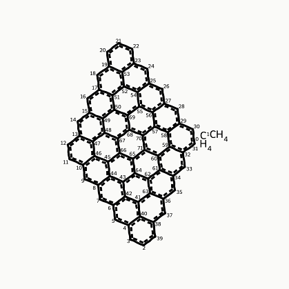 C.C.c1cc2cc3cc4cc5ccc6cc7cc8cc9cccc%10cc%11cc%12cc%13ccc%14cc%15cc%16cc(c1)c2c1c3c2c4c3c5c6c4c7c5c8c(c9%10)c%11c6c%12c7c%13c%14c8c%15c(c%161)c2c1c3c4c(c56)c7c81